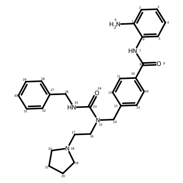 Nc1ccccc1NC(=O)c1ccc(CN(CCN2CCCC2)C(=O)NCc2ccccc2)cc1